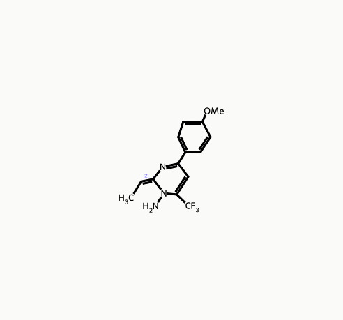 C/C=C1/N=C(c2ccc(OC)cc2)C=C(C(F)(F)F)N1N